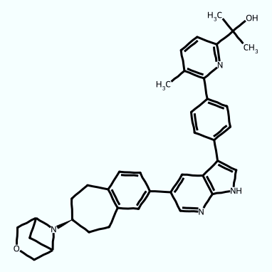 Cc1ccc(C(C)(C)O)nc1-c1ccc(-c2c[nH]c3ncc(-c4ccc5c(c4)CC[C@@H](N4C6COCC4C6)CC5)cc23)cc1